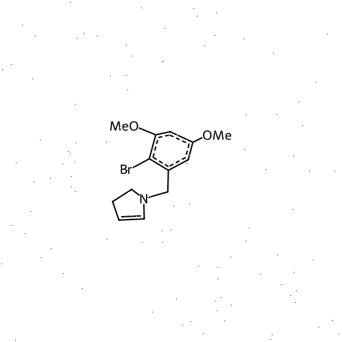 COc1cc(CN2C=CCC2)c(Br)c(OC)c1